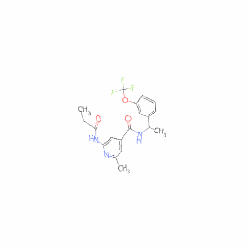 CCC(=O)Nc1cc(C(=O)NC(C)c2cccc(OC(F)(F)F)c2)cc(C)n1